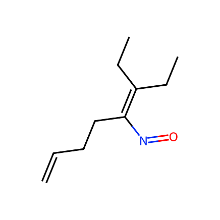 C=CCCC(N=O)=C(CC)CC